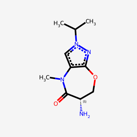 CC(C)n1cc2c(n1)OC[C@H](N)C(=O)N2C